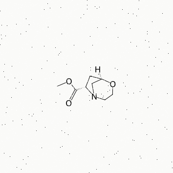 COC(=O)[C@@H]1C[C@@H]2CN1CCO2